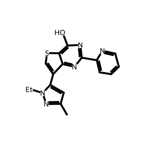 CCn1nc(C)cc1-c1csc2c(O)nc(-c3ccccn3)nc12